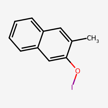 Cc1cc2ccccc2cc1OI